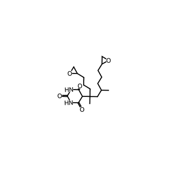 CC(CCCC1CO1)CC(C)(CCCC1CO1)C1C(=O)NC(=O)NC1=O